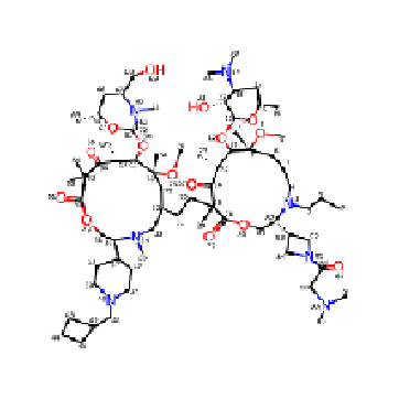 CCCN1CCC[C@@](C)(OC)[C@H](O[C@@H]2O[C@H](C)C[C@H](N(C)C)[C@H]2O)[C@@H](C)C(=O)C(C)(CC[C@H]2CN(C)[C@@H](C3CCN(CC4CCC4)CC3)COC(=O)C(C)(C)C(=O)[C@H](C)[C@@H](O[C@@H](C)O[C@H](C)C[C@@H](CO)N(C)C)[C@](C)(OC)C2)C(=O)OC[C@H]1C1CN(C(=O)CN(C)C)C1